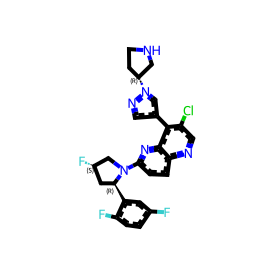 Fc1ccc(F)c([C@H]2C[C@H](F)CN2c2ccc3ncc(Cl)c(-c4cnn([C@@H]5CCNC5)c4)c3n2)c1